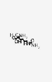 C[C@](N)(CCCCNC(N)=O)C(=O)O